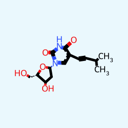 CC(C)C#Cc1cn([C@@H]2CC(O)[C@H](CO)O2)c(=O)[nH]c1=O